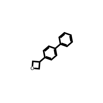 c1ccc(-c2ccc(C3COC3)cc2)cc1